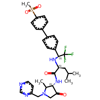 CC(C)C[C@H](N[C@@H](c1ccc(-c2ccc(S(C)(=O)=O)cc2)cc1)C(F)(F)F)C(=O)N[C@@H]1C(=O)CN(Cc2ccncn2)C1C